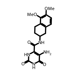 COc1ccc2c(c1OC)CCC(NC(=O)c1[nH]c(=O)[nH]c(=O)c1N)C2